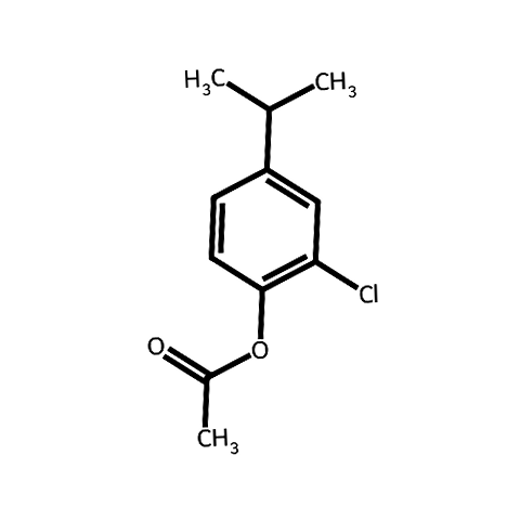 CC(=O)Oc1ccc(C(C)C)cc1Cl